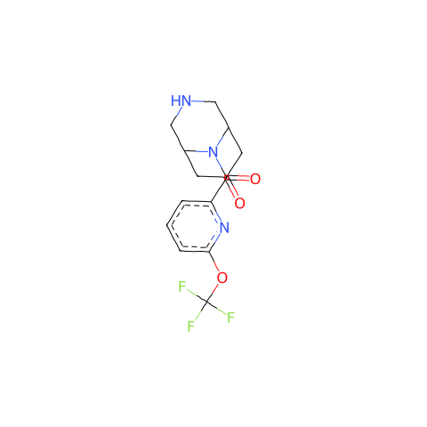 O=C1CC2CNCC(C1)N2C(=O)c1cccc(OC(F)(F)F)n1